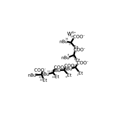 CCCCC(CC)C(=O)[O-].CCCCC(CC)C(=O)[O-].CCCCC(CC)C(=O)[O-].CCCCC(CC)C(=O)[O-].CCCCC(CC)C(=O)[O-].CCCCC(CC)C(=O)[O-].[W+6]